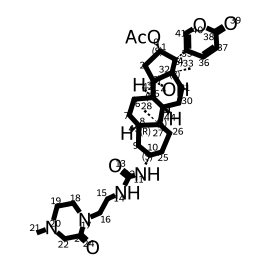 CC(=O)O[C@H]1C[C@]2(O)[C@@H]3CC[C@@H]4C[C@@H](NC(=O)NCCN5CCN(C)CC5=O)CC[C@]4(C)[C@H]3CC[C@]2(C)[C@H]1c1ccc(=O)oc1